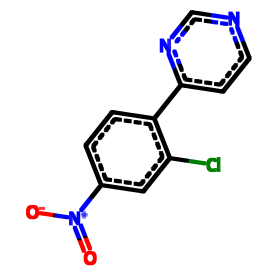 O=[N+]([O-])c1ccc(-c2ccncn2)c(Cl)c1